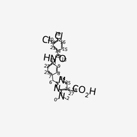 CN(C)c1nc(Cc2ccc(NC(=O)c3ccc(Cl)c(Cl)c3)cc2)ncc1CC(=O)O